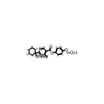 CCCCCCCCOc1ccc(OC(=O)c2cnc(C3(CCCCC)CCCCC3)nc2F)cc1